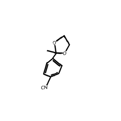 [C-]#[N+]c1ccc(C2(C)OCCO2)cc1